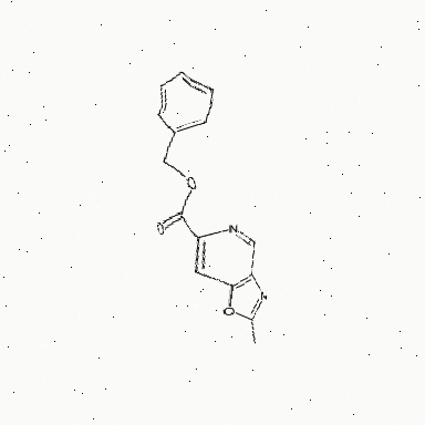 Cc1nc2cnc(C(=O)OCc3ccccc3)cc2o1